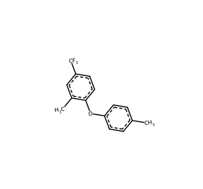 Cc1ccc(Oc2ccc(C(F)(F)F)cc2C)cc1